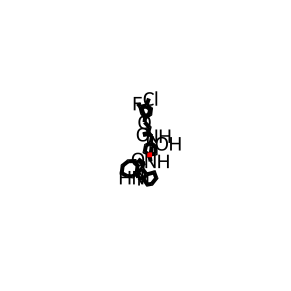 O=C(COc1ccc(Cl)c(F)c1)NC12CCC(NC(=O)C3C4CCCCN4NC34CCCCCCC4)(CC1)CC2O